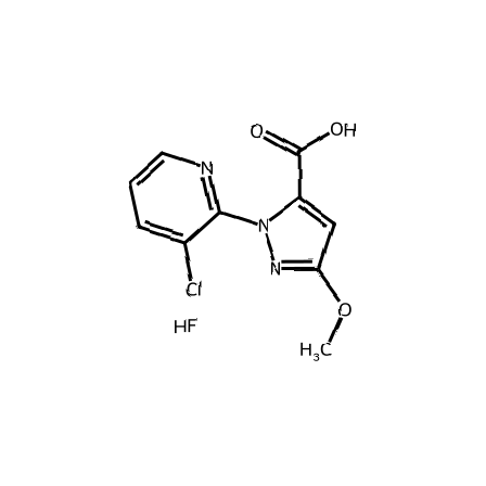 COc1cc(C(=O)O)n(-c2ncccc2Cl)n1.F